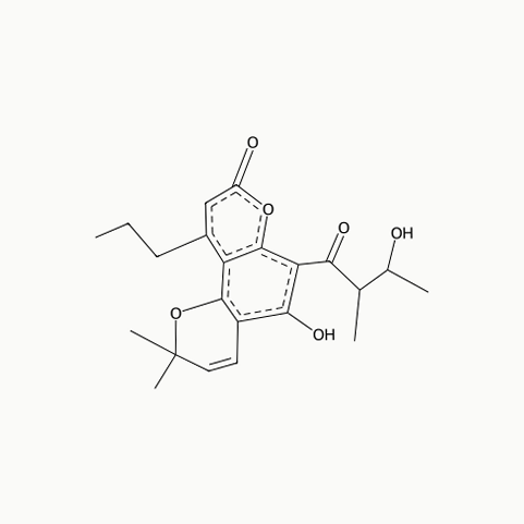 CCCc1cc(=O)oc2c(C(=O)C(C)C(C)O)c(O)c3c(c12)OC(C)(C)C=C3